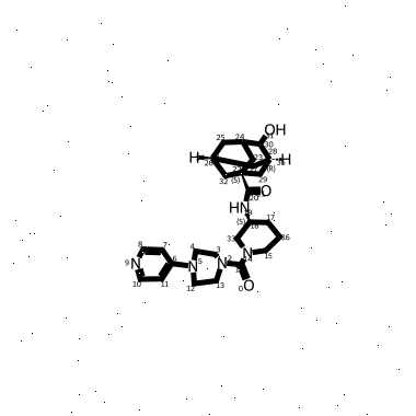 O=C(N1CCN(c2ccncc2)CC1)N1CCC[C@H](NC(=O)[C@@]23CC4C[C@H](C[C@H](C2)C4O)C3)C1